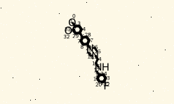 COc1ccc(-c2ccc(N3CCN(CCNCc4ccc(F)cc4)CC3)cc2)cc1OC